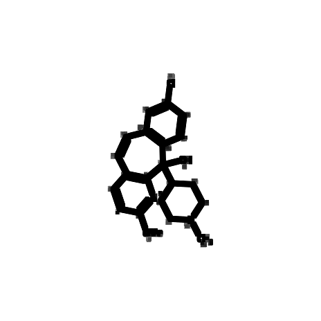 COc1ccc2c(n1)C(O)(C1CCN(C)CC1)c1ccc(Cl)cc1C=C2